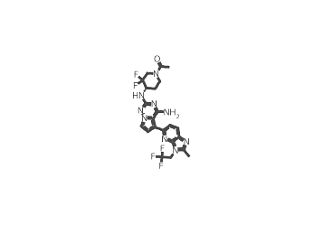 CC(=O)N1CC[C@@H](Nc2nc(N)c3c(-c4ccc5nc(C)n(CC(F)(F)F)c5n4)ccn3n2)C(F)(F)C1